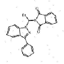 CCC(N1C(=O)c2ccccc2C1=O)n1nc(-c2ccccc2)c2ccccc21